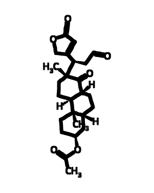 CC(=O)O[C@H]1CC[C@@]2(C)[C@H](CC[C@H]3C(=O)[C@@](C)([C@H](CC=O)C4=CC(=O)OC4)CC[C@@H]32)C1